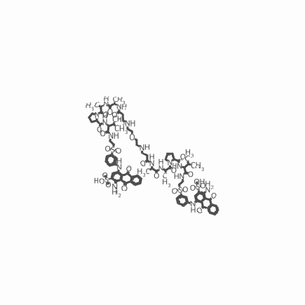 CC(NC(=O)CCNCCOCCNCCC(=O)NC(C)C(=O)NC(C)C(=O)N1CCCC1C(=O)NC(C(=O)NCCS(=O)(=O)c1cccc(Nc2cc(S(=O)(=O)O)c(N)c3c2C(=O)c2ccccc2C3=O)c1)C(C)C)C(=O)NC(C)C(=O)N1CCCC1C(=O)NC(C(=O)NCCS(=O)(=O)c1cccc(Nc2cc(S(=O)(=O)O)c(N)c3c2C(=O)c2ccccc2C3=O)c1)C(C)C